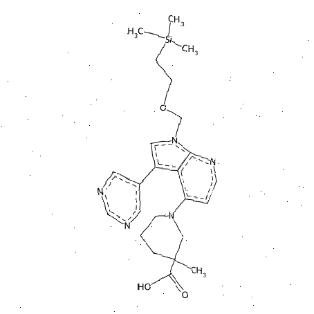 CC1(C(=O)O)CCCN(c2ccnc3c2c(-c2cncnc2)cn3COCC[Si](C)(C)C)C1